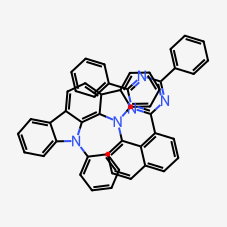 c1ccc(-c2nc(-c3ccccc3)nc(-c3cccc4cccc(-n5c6ccccc6c6ccc7c8ccccc8n(-c8ccccc8)c7c65)c34)n2)cc1